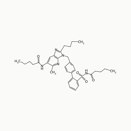 CCCCC(=O)Nc1cc2nc(CCCC)n(Cc3ccc(-c4ccccc4S(=O)(=O)NC(=O)CCCC)cc3)c2nc1C